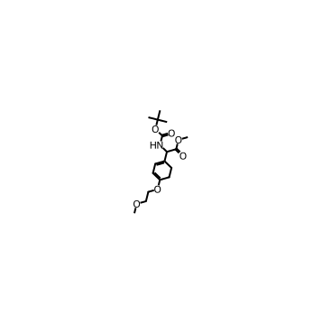 COCCOC1=CC=C(C(NC(=O)OC(C)(C)C)C(=O)OC)CC1